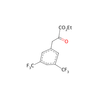 CCOC(=O)C(=O)Cc1cc(C(F)(F)F)cc(C(F)(F)F)c1